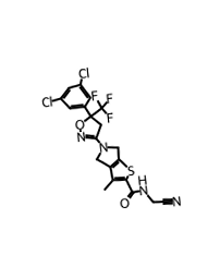 Cc1c(C(=O)NCC#N)sc2c1CN(C1=NOC(c3cc(Cl)cc(Cl)c3)(C(F)(F)F)C1)C2